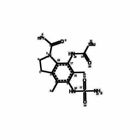 CCCC(=O)N1CCc2c(C)c(NS(N)(=O)=O)c(C)c(NC(=O)C(C)(C)C)c21